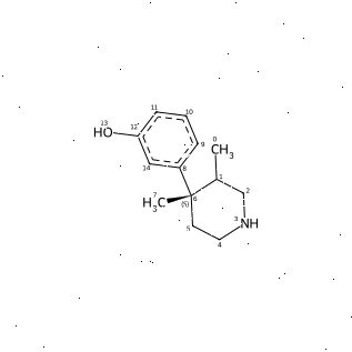 CC1CNCC[C@]1(C)c1cccc(O)c1